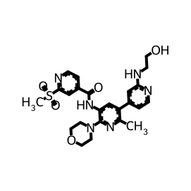 Cc1nc(N2CCOCC2)c(NC(=O)c2ccnc(S(C)(=O)=O)c2)cc1-c1ccnc(NCCO)c1